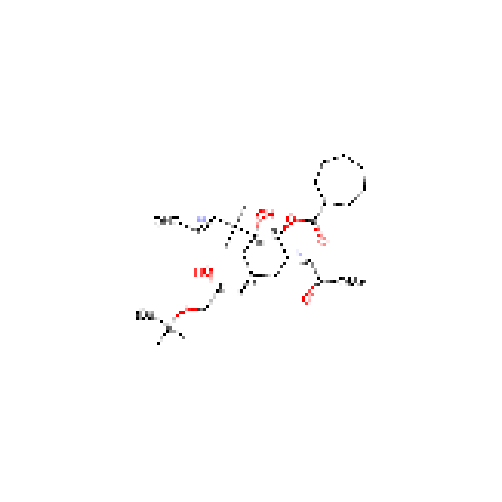 COC(=O)/C=C1\C[C@@H](C[C@@H](O)CO[Si](C)(C)C(C)(C)C)C[C@@](O)(C(C)(C)/C=C/C=O)[C@H]1OC(=O)C1CCCCCC1